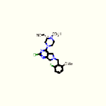 COc1cccc(F)c1CN1Cc2nc(Cl)nc(N3CCN(C(=O)O)[C@@H](CC#N)C3)c2C1